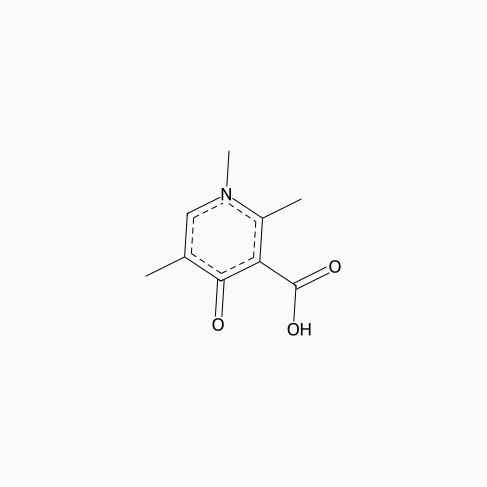 Cc1cn(C)c(C)c(C(=O)O)c1=O